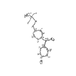 CC(C)(O)CCc1ccc(C(=O)c2ccc(Cl)cc2)cc1